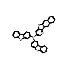 c1ccc2cc3c(cc2c1)oc1cc(N(c2ccc4c(c2)oc2ccccc24)c2ccc4oc5ccccc5c4c2)cnc13